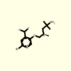 C[C@@H](COc1cnc(Br)cc1C(F)F)CC(C)(C)N